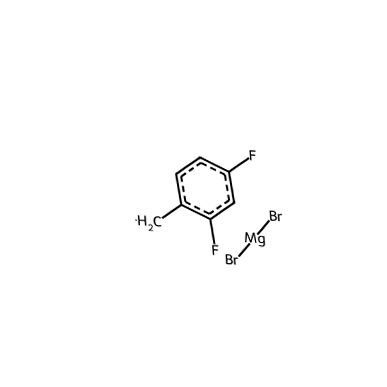 [Br][Mg][Br].[CH2]c1ccc(F)cc1F